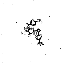 CC(c1ccc(C(F)(F)F)nc1)n1nc(C#N)c2c(=O)[nH]c(C3CCC3c3ncc(C(C)[Si](C)(C)C)cn3)nc21